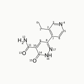 CCc1cnccc1-c1cc(C(N)=O)c(=O)[nH]n1